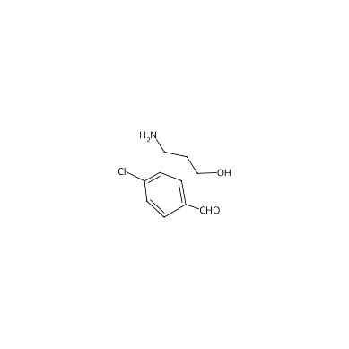 NCCCO.O=Cc1ccc(Cl)cc1